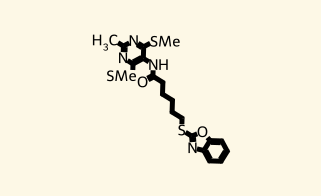 CSc1nc(C)nc(SC)c1NC(=O)CCCCCSc1nc2ccccc2o1